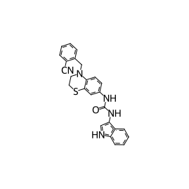 N#Cc1ccccc1CN1CCSc2cc(NC(=O)Nc3c[nH]c4ccccc34)ccc21